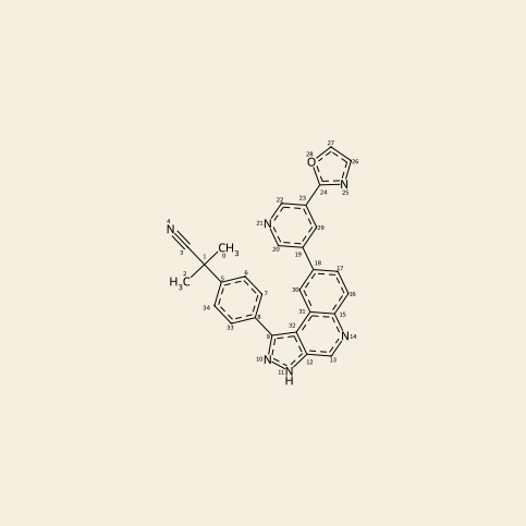 CC(C)(C#N)c1ccc(-c2n[nH]c3cnc4ccc(-c5cncc(-c6ncco6)c5)cc4c23)cc1